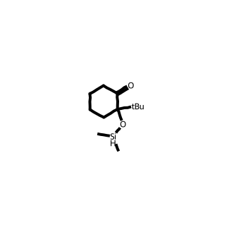 C[SiH](C)OC1(C(C)(C)C)CCCCC1=O